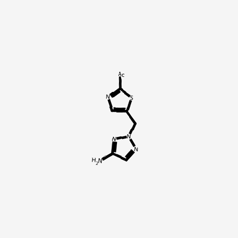 CC(=O)c1ncc(Cn2ncc(N)n2)s1